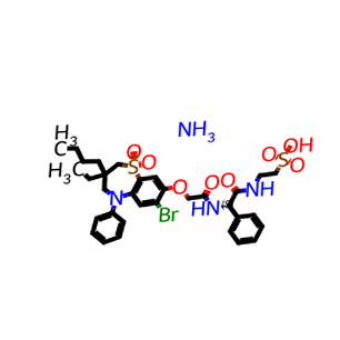 CCCCC1(CC)CN(c2ccccc2)c2cc(Br)c(OCC(=O)N[C@H](C(=O)NCCS(=O)(=O)O)c3ccccc3)cc2S(=O)(=O)C1.N